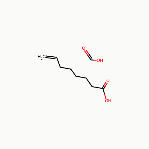 C=CCCCCCC(=O)O.O=CO